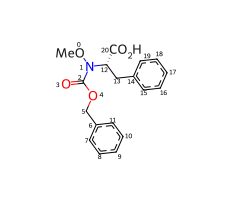 CON(C(=O)OCc1ccccc1)[C@@H](Cc1ccccc1)C(=O)O